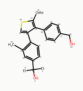 CCC(O)(CC)c1ccc(-c2csc(OC)c2-c2ccc(CO)cc2)c(C)c1